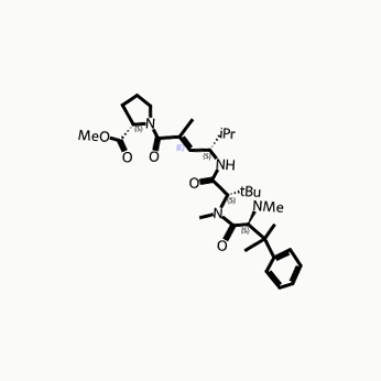 CN[C@H](C(=O)N(C)[C@H](C(=O)N[C@H](/C=C(\C)C(=O)N1CCC[C@H]1C(=O)OC)C(C)C)C(C)(C)C)C(C)(C)c1ccccc1